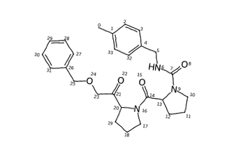 Cc1ccc(CNC(=O)N2CCCC2C(=O)N2CCCC2C(=O)COCc2ccccc2)cc1